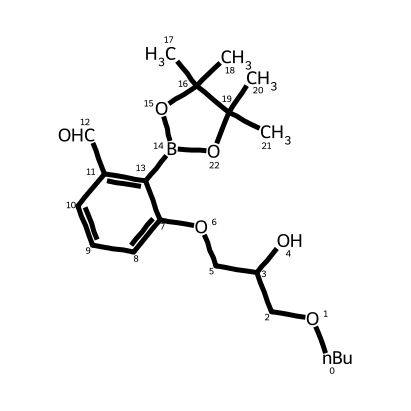 CCCCOCC(O)COc1cccc(C=O)c1B1OC(C)(C)C(C)(C)O1